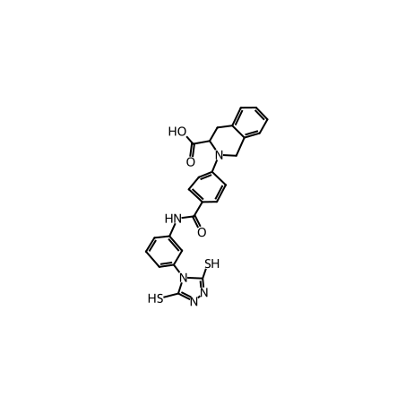 O=C(Nc1cccc(-n2c(S)nnc2S)c1)c1ccc(N2Cc3ccccc3CC2C(=O)O)cc1